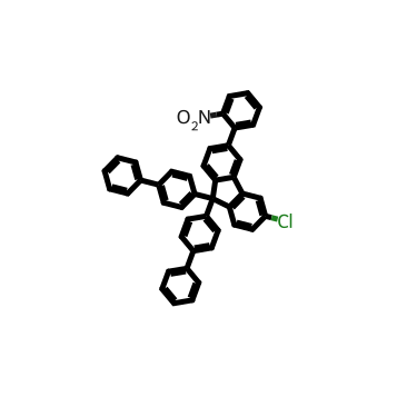 O=[N+]([O-])c1ccccc1-c1ccc2c(c1)-c1cc(Cl)ccc1C2(c1ccc(-c2ccccc2)cc1)c1ccc(-c2ccccc2)cc1